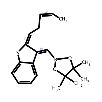 C/C=C\C/C=c1/sc2ccccc2/c1=C\B1OC(C)(C)C(C)(C)O1